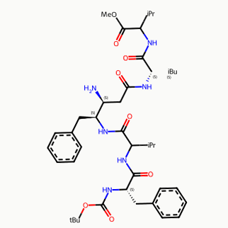 CC[C@H](C)[C@H](NC(=O)C[C@H](N)[C@H](Cc1ccccc1)NC(=O)C(NC(=O)[C@H](Cc1ccccc1)NC(=O)OC(C)(C)C)C(C)C)C(=O)NC(C(=O)OC)C(C)C